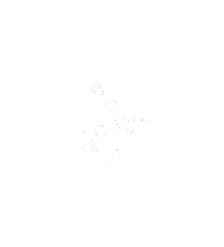 C[C@H](CC#N)C[C@]1(c2ccc(-c3cnn(C(F)F)c3)cc2)NC(=N)N([C@H](COC(=O)NC2(C(F)(F)F)CC2)c2ccc(Cl)c(-n3ncnc3C(F)F)c2)C1=O